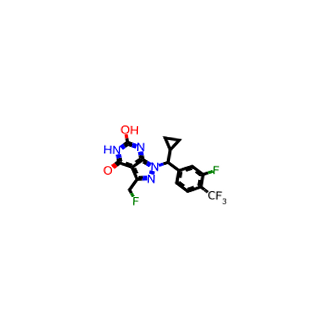 O=c1[nH]c(O)nc2c1c(CF)nn2C(c1ccc(C(F)(F)F)c(F)c1)C1CC1